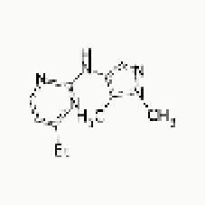 CCc1ccnc(Nc2cnn(C)c2C)n1